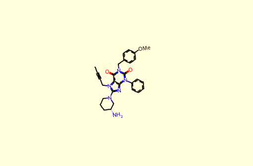 CC#CCn1c(N2CCC[C@@H](N)C2)nc2c1c(=O)n(Cc1ccc(OC)cc1)c(=O)n2-c1ccccc1